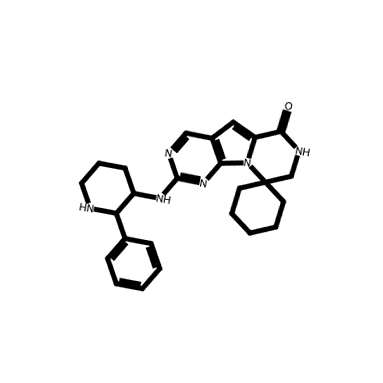 O=C1NCC2(CCCCC2)n2c1cc1cnc(NC3CCCNC3c3ccccc3)nc12